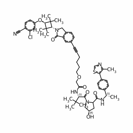 Cc1ncsc1-c1ccc([C@H](C)NC(=O)C2C[C@@H](O)CN2C(=O)[C@@H](NC(=O)COCCCCC#Cc2ccc3c(c2)C(=O)N([C@H]2C(C)(C)[C@H](Oc4ccc(C#N)c(Cl)c4)C2(C)C)C3)C(C)(C)C)cc1